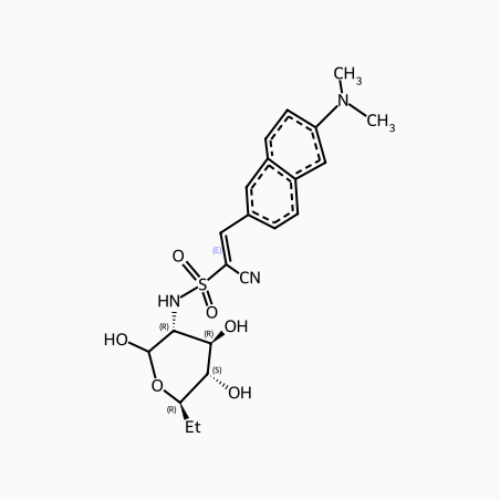 CC[C@H]1OC(O)[C@H](NS(=O)(=O)/C(C#N)=C/c2ccc3cc(N(C)C)ccc3c2)[C@@H](O)[C@@H]1O